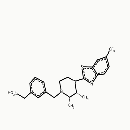 C[C@@H]1[C@H](C)N(Cc2cccc(CC(=O)O)c2)CCN1c1nc2ccc(C(F)(F)F)cc2s1